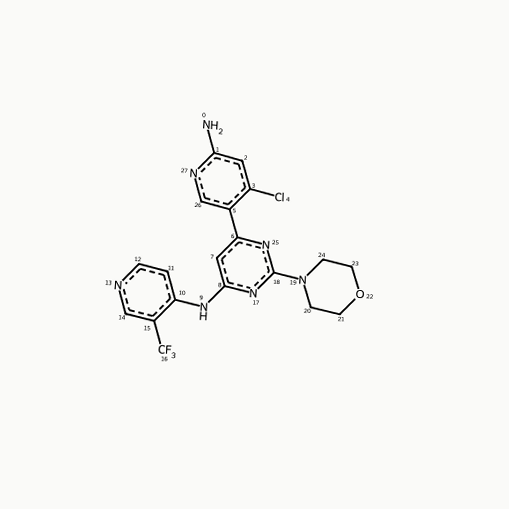 Nc1cc(Cl)c(-c2cc(Nc3ccncc3C(F)(F)F)nc(N3CCOCC3)n2)cn1